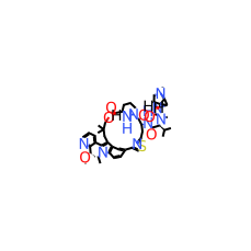 CCn1c(-c2cccnc2[C@H](C)OC)c2c3cc(ccc31)-c1csc(n1)C[C@H](NC(=O)[C@H](C(C)C)N(C)C(=O)N1C3C4[C@H]3[C@H]1CN4C)C(=O)N1CCC[C@H](N1)C(=O)OCC(C)(C)C2